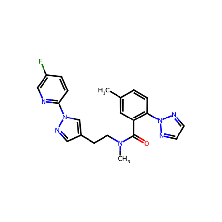 Cc1ccc(-n2nccn2)c(C(=O)N(C)CCc2cnn(-c3ccc(F)cn3)c2)c1